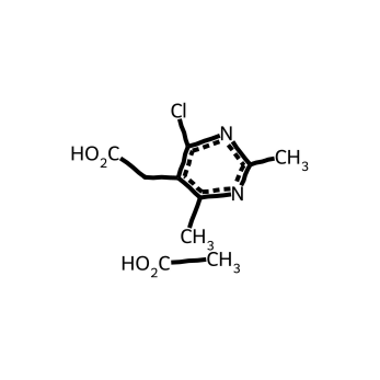 CC(=O)O.Cc1nc(C)c(CC(=O)O)c(Cl)n1